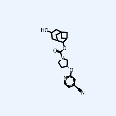 N#Cc1ccnc(O[C@@H]2CCN(C(=O)OC3C4CC(O)CC5(C4)CC3C5)C2)c1